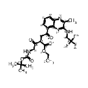 CCOC(=O)C(CC(=O)c1cccc2nc(C)c(NCC(F)(F)F)nc12)C(=O)CNC(=O)OC(C)(C)C